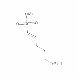 CCCCCCCCC=CS(=O)(=O)OC